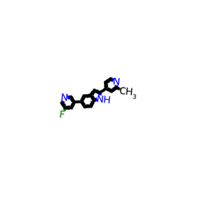 Cc1cc(-c2cc3cc(-c4cncc(F)c4)ccc3[nH]2)ccn1